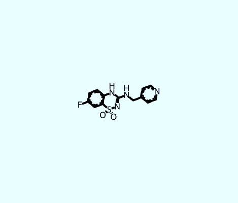 O=S1(=O)N=C(NCc2ccncc2)Nc2ccc(F)cc21